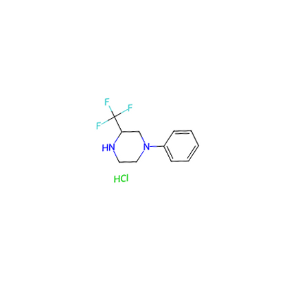 Cl.FC(F)(F)C1CN(c2ccccc2)CCN1